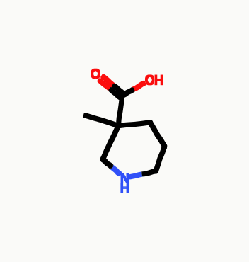 CC1(C(=O)O)CCCNC1